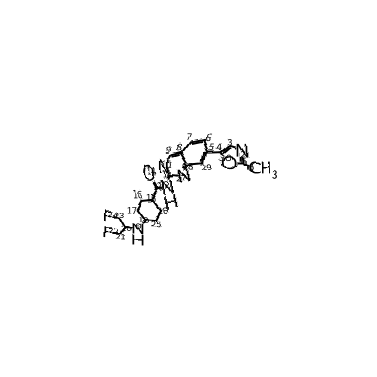 Cc1ncc(-c2ccc3cnc(NC(=O)C4CCC(NC(CF)CF)CC4)nc3c2)o1